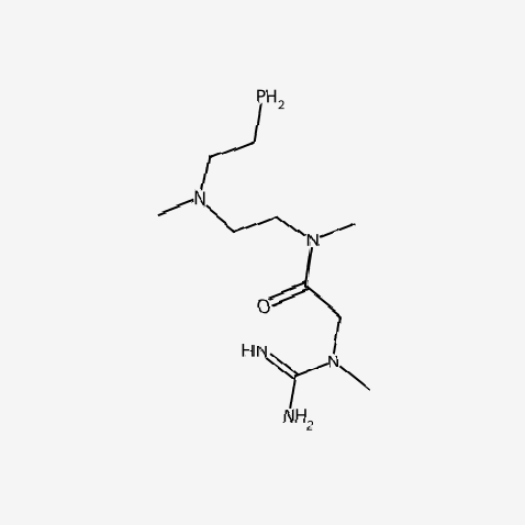 CN(CCP)CCN(C)C(=O)CN(C)C(=N)N